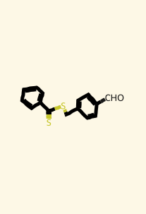 O=Cc1ccc(CSC(=S)c2ccccc2)cc1